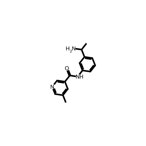 Cc1cncc(C(=O)Nc2cccc(C(C)N)c2)c1